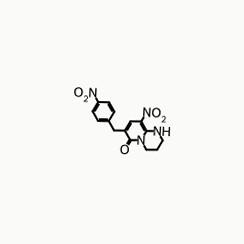 O=c1c(Cc2ccc([N+](=O)[O-])cc2)cc([N+](=O)[O-])c2n1CCCN2